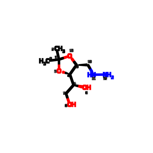 CC1(C)O[C@@H]([C@@H](O)CO)[C@@H](CNN)O1